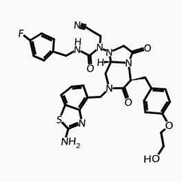 N#CCN(C(=O)NCc1ccc(F)cc1)N1CC(=O)N2[C@@H](Cc3ccc(OCCO)cc3)C(=O)N(Cc3cccc4sc(N)nc34)C[C@@H]21